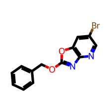 Brc1cnc2nc(OCc3ccccc3)oc2c1